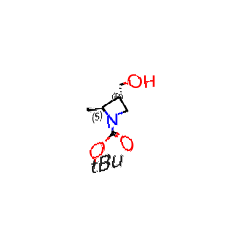 C[C@H]1[C@H](CO)CN1C(=O)OC(C)(C)C